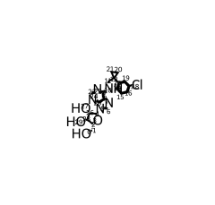 OC[C@H]1O[C@@H](n2cnc3c(NCC4(c5cccc(Cl)c5)CC4)ncnc32)C(O)C1O